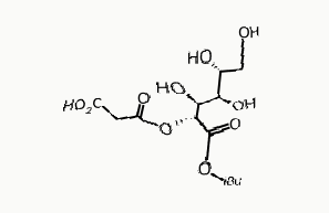 CCC(C)OC(=O)[C@H](OC(=O)CC(=O)O)[C@@H](O)[C@H](O)[C@H](O)CO